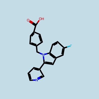 O=C(O)c1ccc(Cn2c(-c3cccnc3)cc3cc(F)ccc32)cc1